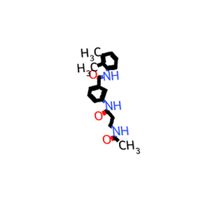 CC(=O)NCCC(=O)Nc1cccc(C(=O)Nc2cccc(C)c2C)c1